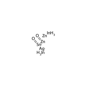 [Ag].[InH3].[InH3].[O]=[Sn].[O]=[Zn].[Zn]